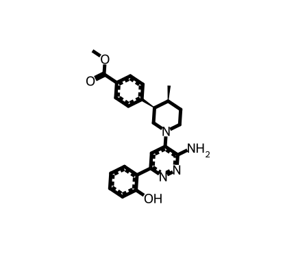 COC(=O)c1ccc([C@@H]2CN(c3cc(-c4ccccc4O)nnc3N)CC[C@@H]2C)cc1